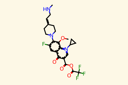 CNCC=C1CCN(c2c(F)cc3c(=O)c(C(=O)OC(=O)C(F)(F)F)cn(C4CC4)c3c2OC)CC1